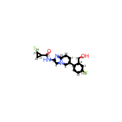 O=C(Nc1cn2cc(-c3ccc(F)cc3CO)ccc2n1)C1CC1F